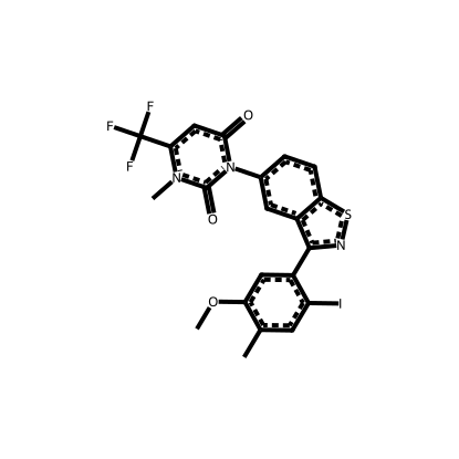 COc1cc(-c2nsc3ccc(-n4c(=O)cc(C(F)(F)F)n(C)c4=O)cc23)c(I)cc1C